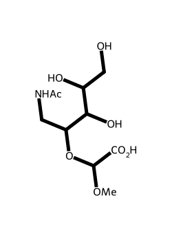 COC(OC(CNC(C)=O)C(O)C(O)CO)C(=O)O